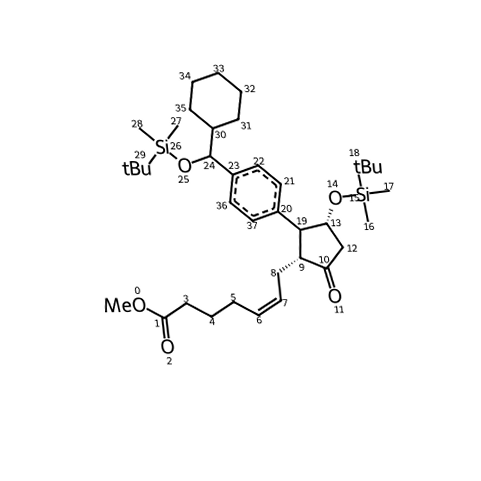 COC(=O)CCC/C=C\C[C@H]1C(=O)C[C@@H](O[Si](C)(C)C(C)(C)C)C1c1ccc(C(O[Si](C)(C)C(C)(C)C)C2CCCCC2)cc1